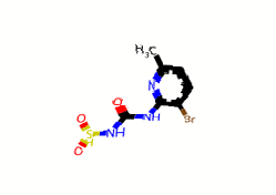 Cc1ccc(Br)c(NC(=O)N[SH](=O)=O)n1